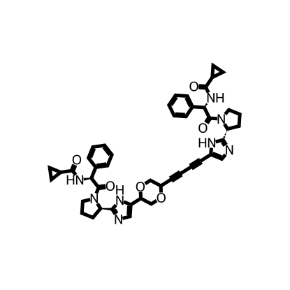 O=C(N[C@H](C(=O)N1CCC[C@@H]1c1ncc(C#CC#CC2COC(c3cnc([C@H]4CCCN4C(=O)[C@@H](NC(=O)C4CC4)c4ccccc4)[nH]3)CO2)[nH]1)c1ccccc1)C1CC1